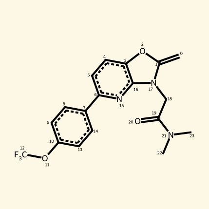 C=C1Oc2ccc(-c3ccc(OC(F)(F)F)cc3)nc2N1CC(=O)N(C)C